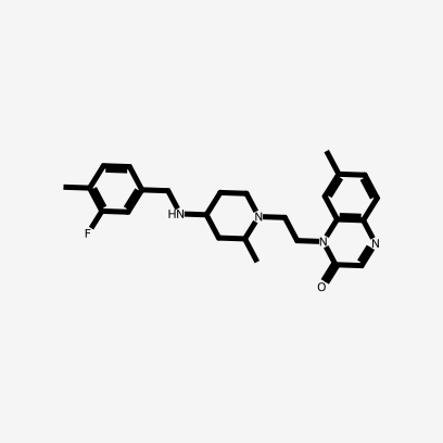 Cc1ccc2ncc(=O)n(CCN3CCC(NCc4ccc(C)c(F)c4)CC3C)c2c1